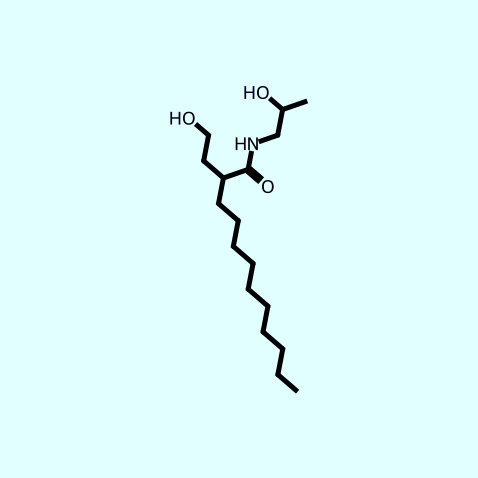 CCCCCCCCCCC(CCO)C(=O)NCC(C)O